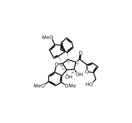 COc1ccc([C@@]23Oc4cc(OC)cc(OC)c4[C@]2(O)[C@H](O)[C@H](C(=O)c2ccc(CO)o2)[C@H]3c2ccccc2)cc1